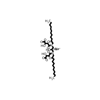 CCCCCCCCCCCCN(CC(O)CN(CCCCCCCCCCCC)C(=O)C(O)C(O)C(=O)[O-])C(=O)C(O)C(O)C(=O)[O-].[Na+].[Na+]